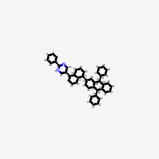 c1ccc(-c2ncc(-c3cccc4c(-c5ccc6c(-c7ccccc7)c7ccccc7c(-c7ccccc7)c6c5)cccc34)cn2)cc1